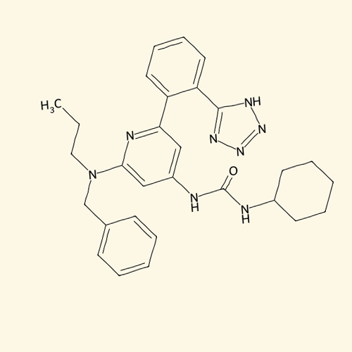 CCCN(Cc1ccccc1)c1cc(NC(=O)NC2CCCCC2)cc(-c2ccccc2-c2nnn[nH]2)n1